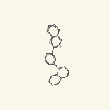 c1cc(-c2ncc3ccccc3n2)cc(N2CCCC3CCCCC32)c1